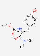 CCN(C#N)C(=O)C(Cc1ccc(O)cc1)NC(=O)OC(C)(C)C